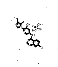 Cc1ncn(-c2ncc(Nc3ncnc4cc(Cl)ccc34)cc2O)c1C.O=P(O)(O)O